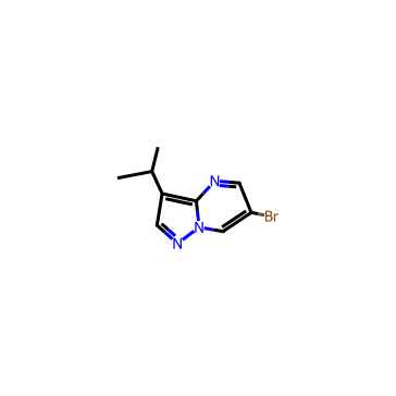 CC(C)c1cnn2cc(Br)cnc12